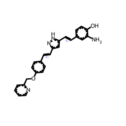 Nc1cc(/C=C/c2cc(/C=C/c3ccc(OCc4ccccn4)cc3)n[nH]2)ccc1O